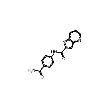 NC(=O)c1ccc(NC(=O)c2cc3ncccc3[nH]2)cc1